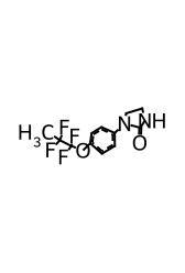 CC(F)(F)C(F)(F)Oc1ccc(N2CCNC2=O)cc1